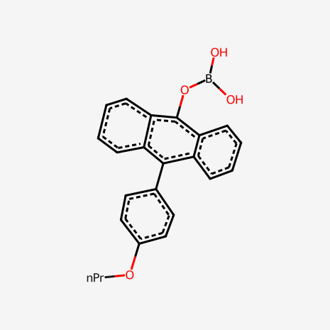 CCCOc1ccc(-c2c3ccccc3c(OB(O)O)c3ccccc23)cc1